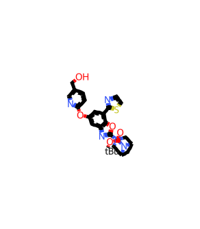 CC(C)(C)OC(=O)N1C2CC1CN(c1nc3cc(Oc4ccc(CO)cn4)cc(-c4nccs4)c3o1)C2